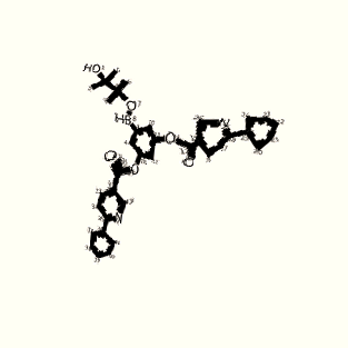 CC(C)(O)C(C)(C)OBc1cc(OC(=O)c2ccc(-c3ccccc3)nc2)cc(OC(=O)c2ccc(-c3ccccc3)nc2)c1